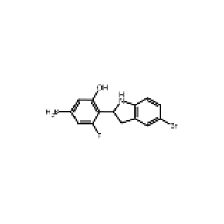 Bc1cc(O)c(C2Cc3cc(Br)ccc3N2)c(F)c1